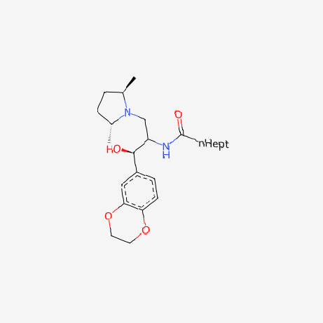 CCCCCCCC(=O)NC(CN1[C@H](C)CC[C@H]1C)[C@H](O)c1ccc2c(c1)OCCO2